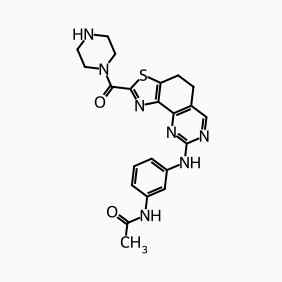 CC(=O)Nc1cccc(Nc2ncc3c(n2)-c2nc(C(=O)N4CCNCC4)sc2CC3)c1